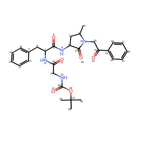 CC1CC(NC(=O)C(Cc2ccccc2)NC(=O)CNC(=O)OC(C)(C)C)C(=O)N1CC(=O)c1ccccc1